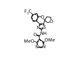 COc1ncnc(OC)c1C(=O)Nc1nc2c(s1)C1(CCOC1)Oc1cc(C(F)(F)F)ccc1-2